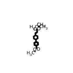 CCOC(=O)c1ccc(C2CCC(C=CC(=O)OC(C)(C)C)CC2)cc1